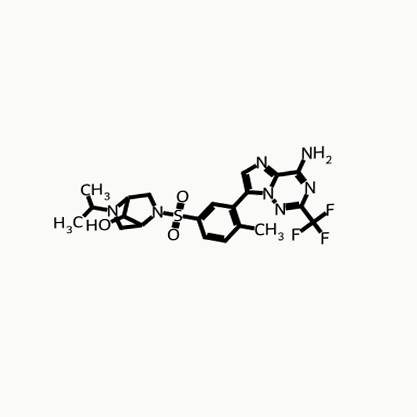 Cc1ccc(S(=O)(=O)N2CC3C(O)C2CN3C(C)C)cc1-c1cnc2c(N)nc(C(F)(F)F)nn12